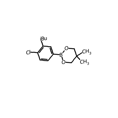 CCC(C)c1cc(B2OCC(C)(C)CO2)ccc1Cl